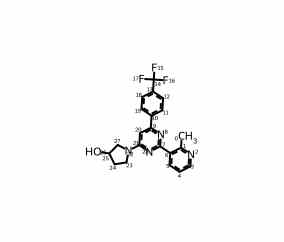 Cc1ncccc1-c1nc(-c2ccc(C(F)(F)F)cc2)cc(N2CCC(O)C2)n1